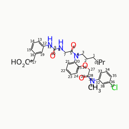 CC(C)CCCN(C(=O)CNC(=O)Nc1cccc(CC(=O)O)c1)c1ccccc1OCC(=O)N(C)c1cccc(Cl)c1